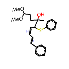 COC(CCC(C)(O)C(/C=C\C=C\c1ccccc1)Sc1ccccc1)OC